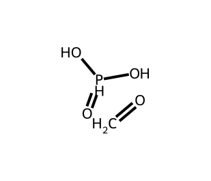 C=O.O=[PH](O)O